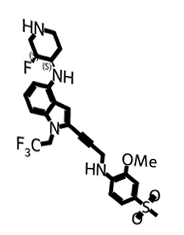 COc1cc(S(C)(=O)=O)ccc1NCC#Cc1cc2c(N[C@H]3CCNC[C@@H]3F)cccc2n1CC(F)(F)F